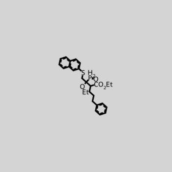 CCOC(=O)C(CCCc1ccccc1)C(CSc1ccc2ccccc2c1)(OCC)[PH2]=O